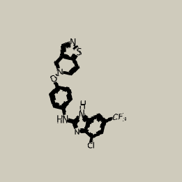 FC(F)(F)c1cc(Cl)c2nc(Nc3ccc(ON4C=Cc5sncc5C4)cc3)[nH]c2c1